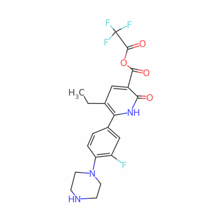 CCc1cc(C(=O)OC(=O)C(F)(F)F)c(=O)[nH]c1-c1ccc(N2CCNCC2)c(F)c1